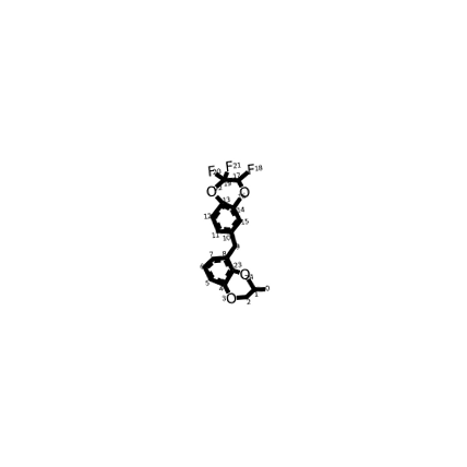 CC1COc2cccc(Cc3ccc4c(c3)OC(F)C(F)(F)O4)c2O1